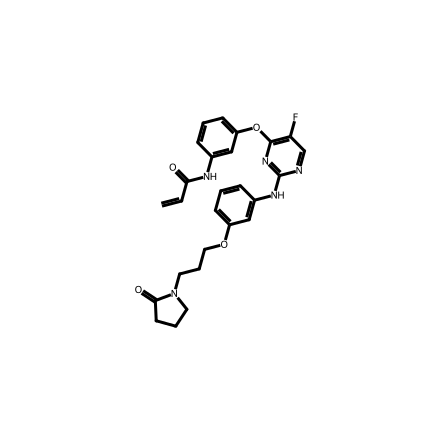 C=CC(=O)Nc1cccc(Oc2nc(Nc3cccc(OCCCN4CCCC4=O)c3)ncc2F)c1